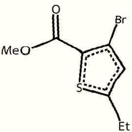 CCc1cc(Br)c(C(=O)OC)s1